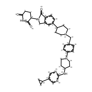 O=C1CCC(N2Cc3cc(C4CCN(Cc5ccc(N6CCC(Nc7ncc(C8CC8)cn7)CC6)cc5)CC4)ccc3C2=O)C(=O)N1